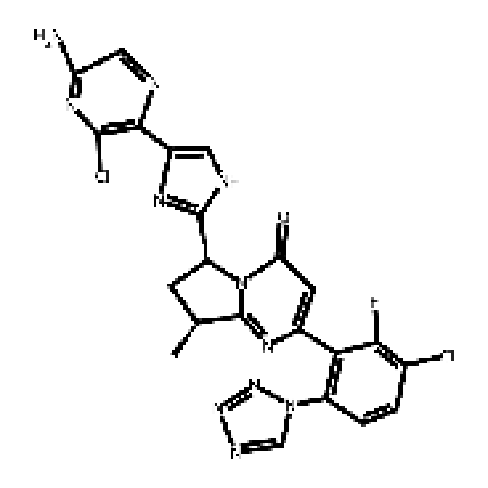 C[C@H]1C[C@@H](c2nc(-c3ncc(N)nc3Cl)c[nH]2)n2c1nc(-c1c(-n3cnnn3)ccc(Cl)c1F)cc2=O